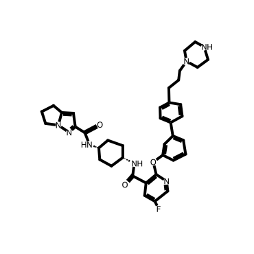 O=C(N[C@H]1CC[C@@H](NC(=O)c2cc(F)cnc2Oc2cccc(-c3ccc(CCCN4CCNCC4)cc3)c2)CC1)c1cc2n(n1)CCC2